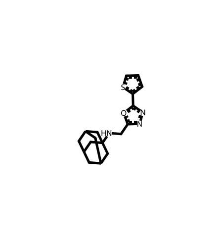 c1csc(-c2nnc(CNC34CC5CC(CC(C5)C3)C4)o2)c1